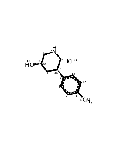 Cc1ccc([C@@H]2CNC[C@H](O)C2)cc1.Cl